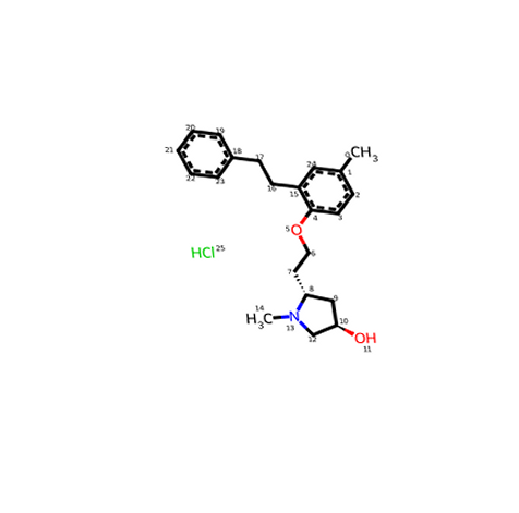 Cc1ccc(OCC[C@@H]2C[C@@H](O)CN2C)c(CCc2ccccc2)c1.Cl